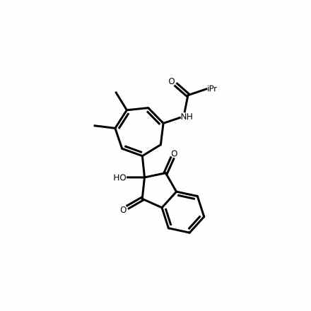 CC1=C(C)C=C(C2(O)C(=O)c3ccccc3C2=O)CC(NC(=O)C(C)C)=C1